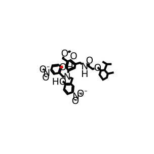 CC(C)C1C(C)CCCC1OCC(=O)NCc1cc(N(Cc2cc([N+](=O)[O-])ccc2O)Cc2cc([N+](=O)[O-])ccc2O)cc2c1OCOC2